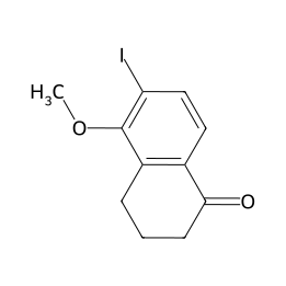 COc1c(I)ccc2c1CCCC2=O